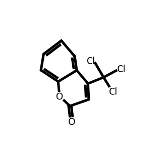 O=c1cc(C(Cl)(Cl)Cl)c2ccccc2o1